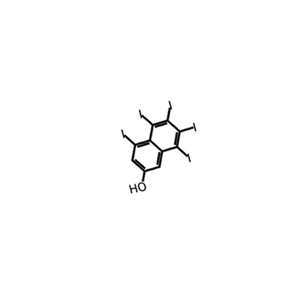 Oc1cc(I)c2c(I)c(I)c(I)c(I)c2c1